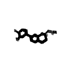 CCOC(=O)[C@@H]1CCc2ccc(-c3ccc(F)c(Cl)c3)cc2O1